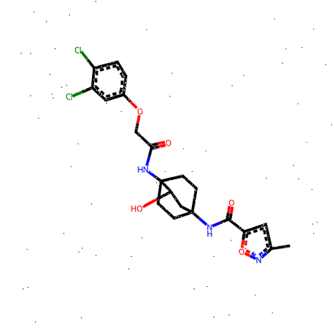 Cc1cc(C(=O)NC23CCC(NC(=O)COc4ccc(Cl)c(Cl)c4)(CC2)C(O)C3)on1